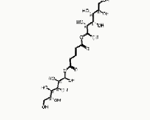 O=C(CCCC(=O)OC(O)[C@H](O)[C@@H](O)[C@H](O)[C@H](O)CO)OC(O)[C@H](O)[C@@H](O)[C@H](O)[C@H](O)CO